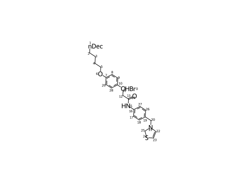 Br.CCCCCCCCCCCCCCOc1ccc(OCC(=O)Nc2ccc(CN3C=CSC3)cc2)cc1